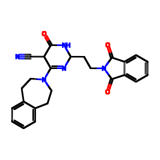 N#CC1C(=O)NC(CCN2C(=O)c3ccccc3C2=O)N=C1N1CCc2ccccc2CC1